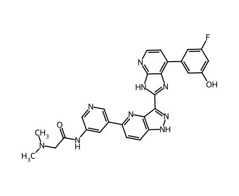 CN(C)CC(=O)Nc1cncc(-c2ccc3[nH]nc(-c4nc5c(-c6cc(O)cc(F)c6)ccnc5[nH]4)c3n2)c1